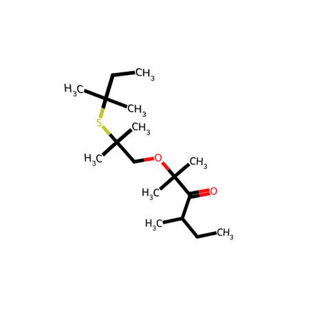 CCC(C)C(=O)C(C)(C)OCC(C)(C)SC(C)(C)CC